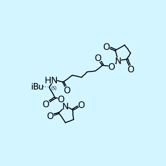 CCC(C)[C@H](NC(=O)CCCCC(=O)ON1C(=O)CCC1=O)C(=O)ON1C(=O)CCC1=O